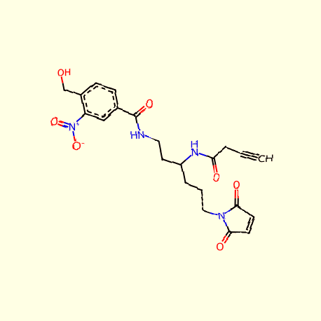 C#CCC(=O)NC(CCCN1C(=O)C=CC1=O)CCNC(=O)c1ccc(CO)c([N+](=O)[O-])c1